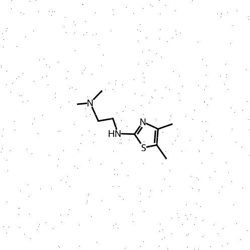 Cc1nc(NCCN(C)C)sc1C